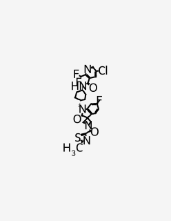 Cc1nc(C(=O)N2CC3(C2)C(=O)N(C[C@H]2CC[C@H](NC(=O)c4cc(Cl)cnc4C(F)F)CC2)c2cc(F)ccc23)cs1